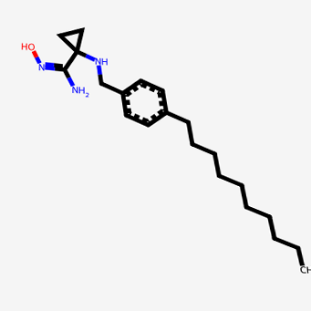 CCCCCCCCCCc1ccc(CNC2(/C(N)=N\O)CC2)cc1